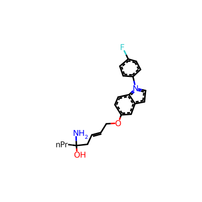 CCCC(N)(O)CC=CCOc1ccc2c(ccn2-c2ccc(F)cc2)c1